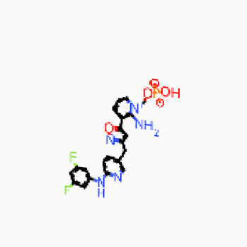 Nc1c(-c2cc(Cc3ccc(Nc4cc(F)cc(F)c4)nc3)no2)ccc[n+]1COP(=O)([O-])O